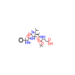 CN[C@H](C(=O)N[C@H](C(=O)N(C)[C@H](/C=C(\C)C(=O)N[C@@H](CCC(=O)O)C(=O)OC(C)(C)C)C(C)C)C(C)(C)C)C(C)(C)c1ccccc1